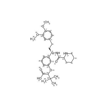 COc1ccc(CC[C@@H](NC(=O)C2CCCCN2)c2cccc(OC(C(=O)O)C(C)(C)C)c2)cc1OC